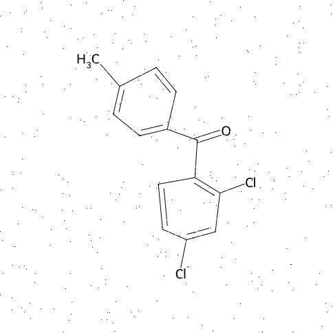 Cc1ccc(C(=O)c2ccc(Cl)cc2Cl)cc1